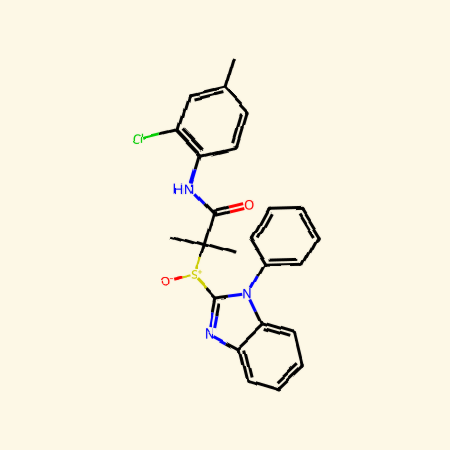 Cc1ccc(NC(=O)C(C)(C)[S+]([O-])c2nc3ccccc3n2-c2ccccc2)c(Cl)c1